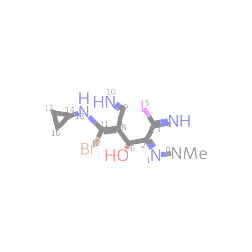 CN/N=C(\C(=N)I)C(O)/C(C=N)=C(\Br)NC1CC1